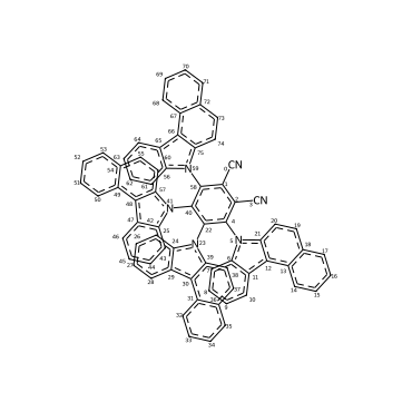 N#Cc1c(C#N)c(-n2c3ccccc3c3c4ccccc4ccc32)c(-n2c3ccccc3c3c4ccccc4ccc32)c(-n2c3ccccc3c3c4ccccc4ccc32)c1-n1c2ccccc2c2c3ccccc3ccc21